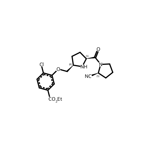 CCOC(=O)c1ccc(Cl)c(OC[C@H]2CC[C@@H](C(=O)N3CCC[C@H]3C#N)N2)c1